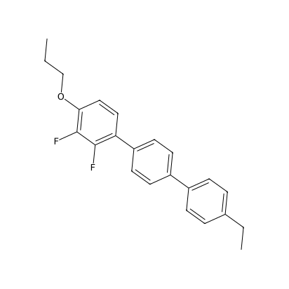 CCCOc1ccc(-c2ccc(-c3ccc(CC)cc3)cc2)c(F)c1F